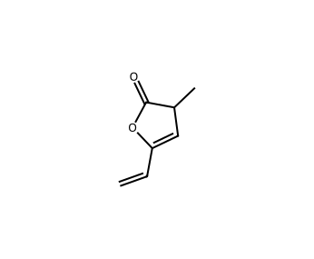 C=CC1=CC(C)C(=O)O1